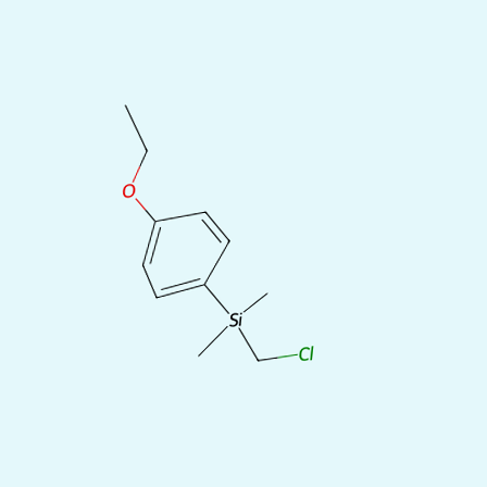 CCOc1ccc([Si](C)(C)CCl)cc1